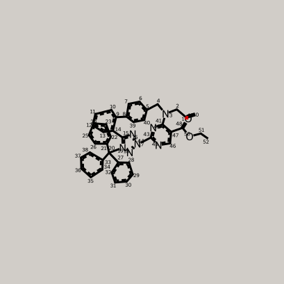 C=CCN(Cc1ccc(-c2ccccc2-c2nnnn2C(c2ccccc2)(c2ccccc2)c2ccccc2)cc1)c1nc(C)ncc1C(=O)OCC